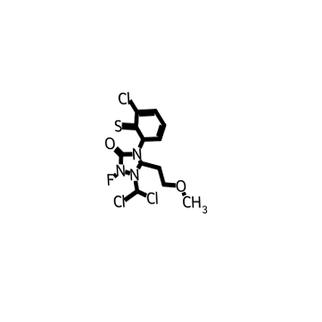 COCCC1N(C2C=CC=C(Cl)C2=S)C(=O)N(F)N1C(Cl)Cl